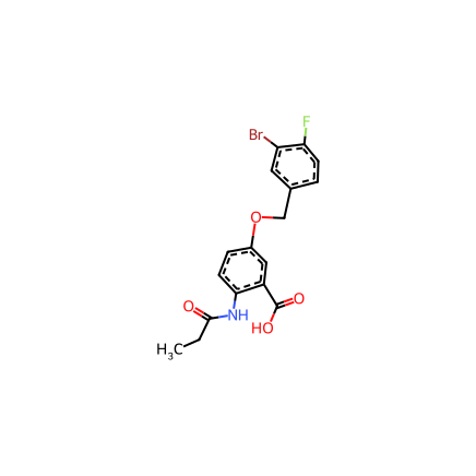 CCC(=O)Nc1ccc(OCc2ccc(F)c(Br)c2)cc1C(=O)O